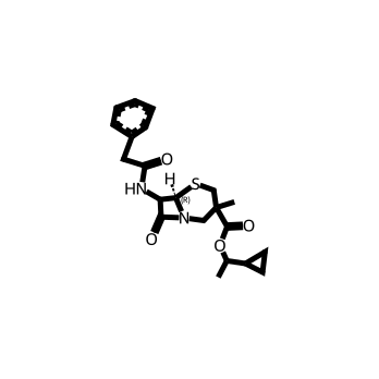 CC(OC(=O)C1(C)CS[C@@H]2C(NC(=O)Cc3ccccc3)C(=O)N2C1)C1CC1